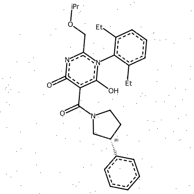 CCc1cccc(CC)c1-n1c(COC(C)C)nc(=O)c(C(=O)N2CC[C@H](c3ccccc3)C2)c1O